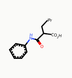 CC(C)CC(C(=O)O)C(=O)Nc1ccccc1